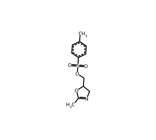 CC1=NCC(COS(=O)(=O)c2ccc(C)cc2)O1